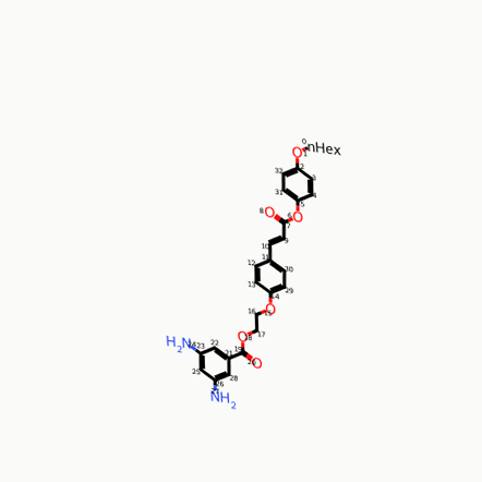 CCCCCCOc1ccc(OC(=O)/C=C/c2ccc(OCCOC(=O)c3cc(N)cc(N)c3)cc2)cc1